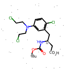 CC(C)(C)OC(=O)N[C@H](CC(=O)O)Cc1cc(N(CCCl)CCCl)ccc1Cl